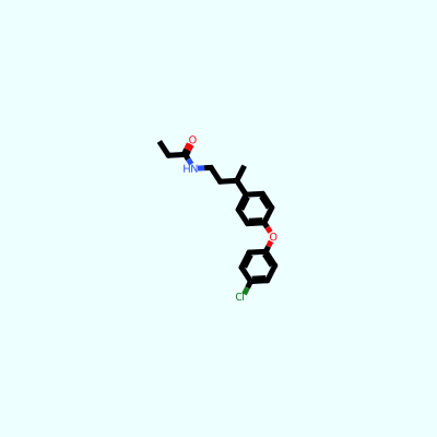 CCC(=O)NCCC(C)c1ccc(Oc2ccc(Cl)cc2)cc1